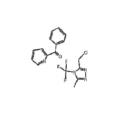 Cc1nnc(CCl)n1C(F)(F)F.O=C(c1ccccc1)c1ccccn1